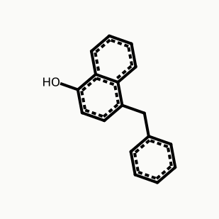 Oc1ccc(Cc2ccccc2)c2ccccc12